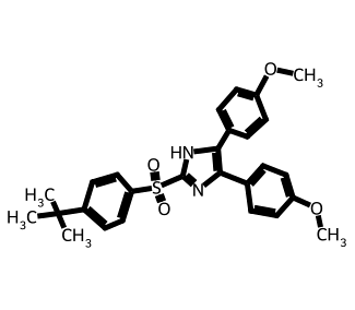 COc1ccc(-c2nc(S(=O)(=O)c3ccc(C(C)(C)C)cc3)[nH]c2-c2ccc(OC)cc2)cc1